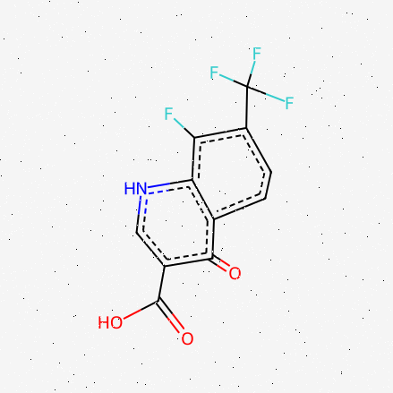 O=C(O)c1c[nH]c2c(F)c(C(F)(F)F)ccc2c1=O